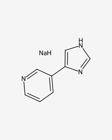 [NaH].c1cncc(-c2c[nH]cn2)c1